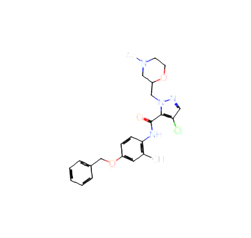 CC(=O)N1CCOC(Cn2ncc(Cl)c2C(=O)Nc2ccc(OCc3ccccc3)cc2C)C1